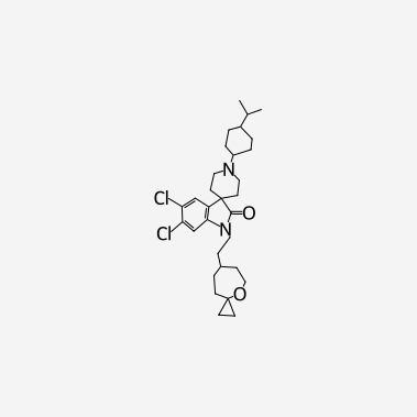 CC(C)C1CCC(N2CCC3(CC2)C(=O)N(CCC2CCOC4(CC2)CC4)c2cc(Cl)c(Cl)cc23)CC1